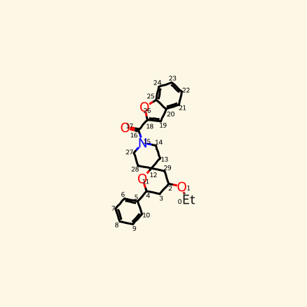 CCOC1CC(c2ccccc2)OC2(CCN(C(=O)c3cc4ccccc4o3)CC2)C1